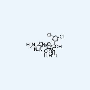 C[C@@]1(O)[C@@H](C(O)c2cc(Cl)cc(Cl)c2)O[C@@H](n2ccc3c(N)ncnc32)[C@@H]1O